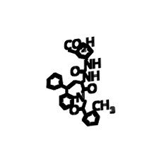 Cc1ccccc1C(=O)CN1C(=O)C(NC(=O)Nc2cccc(CC(=O)O)c2)C=C(c2ccccc2)c2ccccc21